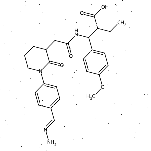 CCC(C(=O)O)C(NC(=O)CC1CCCN(c2ccc(C=NN)cc2)C1=O)c1ccc(OC)cc1